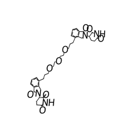 O=C1CCC(N2Cc3c(CCCOCCOCCOCCCc4cccc5c4CN(C4CCC(=O)NC4=O)C5=O)cccc3C2=O)C(=O)N1